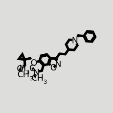 COCC1(COc2ccc3c(CCC4CCN(Cc5ccccc5)CC4)noc3c2CN(C)C)CC1